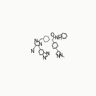 Cn1cc(-c2ccc(C(C(=O)NCc3ccccc3)[C@H]3CC[C@H](Cc4ncc(C#N)c(-c5ccc6ncn(C)c6c5)n4)CC3)cc2)cn1